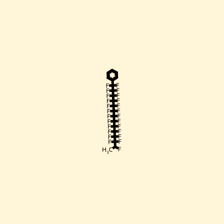 CC(F)C(F)(F)C(F)(F)C(F)(F)C(F)(F)C(F)(F)C(F)(F)C(F)(F)C(F)(F)C(F)(F)C(F)(F)C(F)(F)C(F)(F)c1[c]cccc1